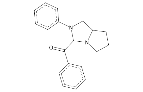 O=C(c1ccccc1)C1N(c2ccccc2)CC2CCCN21